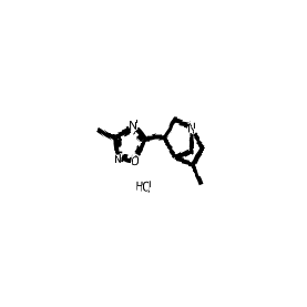 Cc1noc(C2CN3CC(C)C2C3)n1.Cl